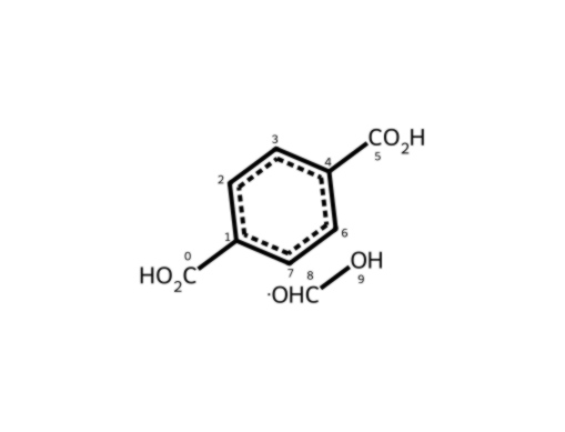 O=C(O)c1ccc(C(=O)O)cc1.O=[C]O